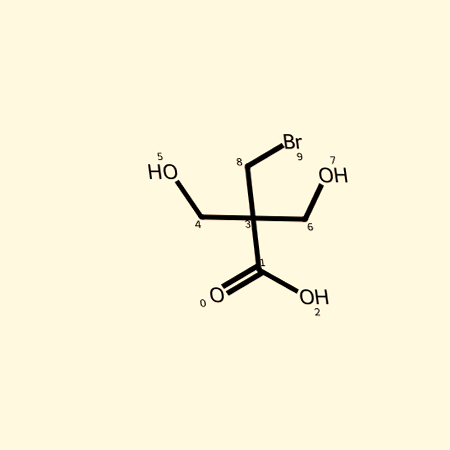 O=C(O)C(CO)(CO)CBr